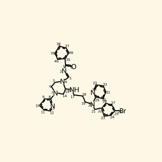 O=C(N=CN1CCN(c2ccccn2)CC1NCCCN(Cc1ccc(Br)cc1)c1ccccn1)c1ccccc1